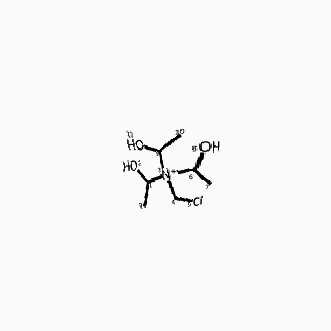 CC(O)[N+](CCl)(C(C)O)C(C)O